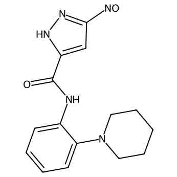 O=Nc1cc(C(=O)Nc2ccccc2N2CCCCC2)[nH]n1